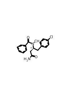 CN(C(=O)c1ccccc1)[C@H](CC(N)=O)Cc1ccc(Cl)cc1